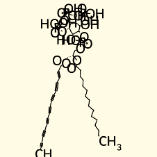 CC#CC#CC#CC#CC#CC#CC#CC(=O)OC[C@H](COP(=O)(O)OC1C(O)[C@H](OP(=O)(O)O)[C@H](OP(=O)(O)O)C(OP(=O)(O)O)[C@@H]1O)OC(=O)CCCCCCCCCCCCCCC